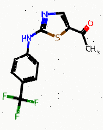 CC(=O)c1cnc(Nc2ccc(C(F)(F)F)cc2)s1